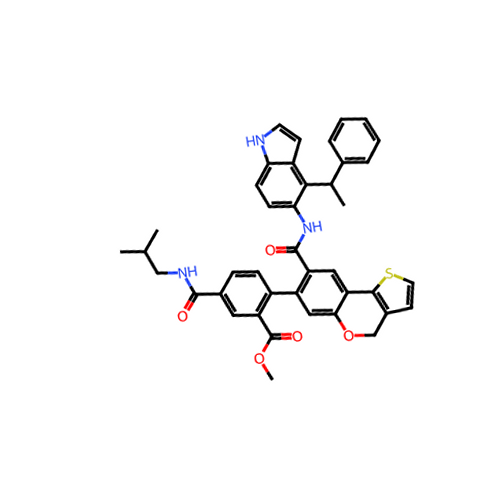 COC(=O)c1cc(C(=O)NCC(C)C)ccc1-c1cc2c(cc1C(=O)Nc1ccc3[nH]ccc3c1C(C)c1ccccc1)-c1sccc1CO2